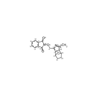 Cn1nc(CON2C(=O)c3ccccc3C2=O)c2c1C1CCC2C1